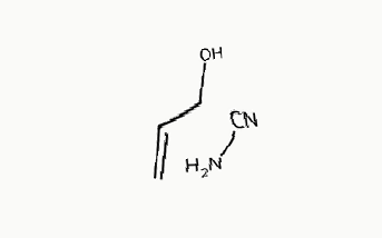 C=CCO.N#CN